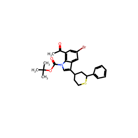 CC(=O)c1cc(Br)cc2c(C3CCSC(c4ccccc4)C3)cn(C(=O)OC(C)(C)C)c12